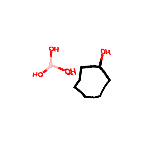 OB(O)O.OC1CCCCC1